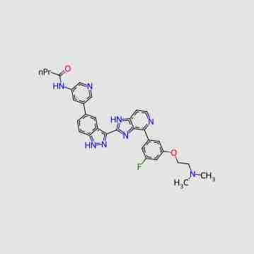 CCCC(=O)Nc1cncc(-c2ccc3[nH]nc(-c4nc5c(-c6cc(F)cc(OCCN(C)C)c6)nccc5[nH]4)c3c2)c1